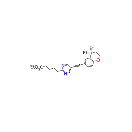 CCOC(=O)CCCCc1ncc(C#Cc2ccc3c(c2)C(CC)(CC)CCO3)cn1